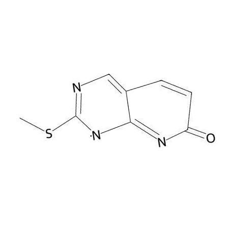 CSC1=NC=C2C=CC(=O)N=C2[N]1